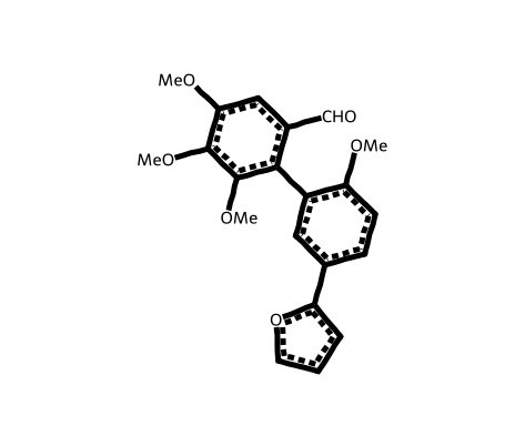 COc1ccc(-c2ccco2)cc1-c1c(C=O)cc(OC)c(OC)c1OC